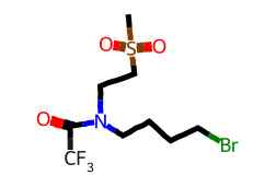 CS(=O)(=O)CCN(CCCCBr)C(=O)C(F)(F)F